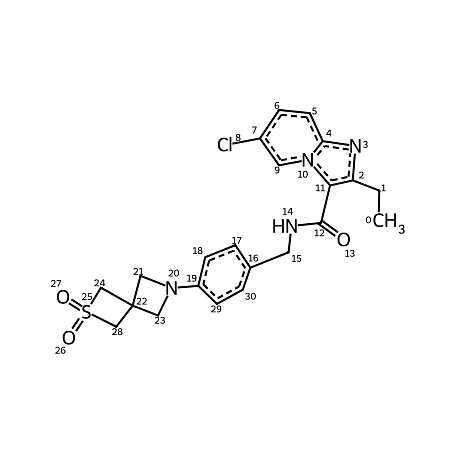 CCc1nc2ccc(Cl)cn2c1C(=O)NCc1ccc(N2CC3(C2)CS(=O)(=O)C3)cc1